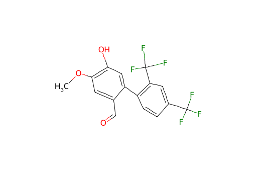 COc1cc(C=O)c(-c2ccc(C(F)(F)F)cc2C(F)(F)F)cc1O